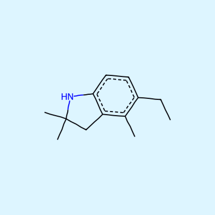 CCc1ccc2c(c1C)CC(C)(C)N2